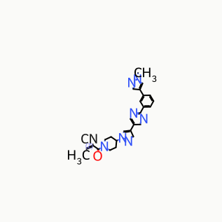 C/C=C(/C#N)C(=O)N1CCC(n2cc(-c3cnc(-c4cccc(-c5cnn(C)c5)c4)nc3)cn2)CC1